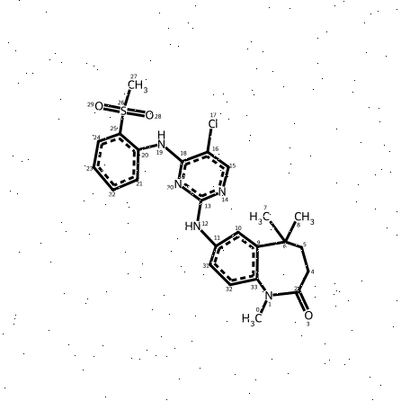 CN1C(=O)CCC(C)(C)c2cc(Nc3ncc(Cl)c(Nc4ccccc4S(C)(=O)=O)n3)ccc21